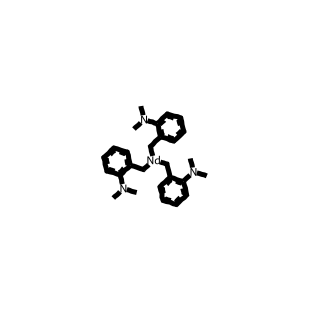 CN(C)c1ccccc1[CH2][Nd]([CH2]c1ccccc1N(C)C)[CH2]c1ccccc1N(C)C